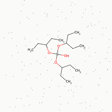 CCC(CC)O[Si](O)(OC(CC)CC)OC(CC)CC